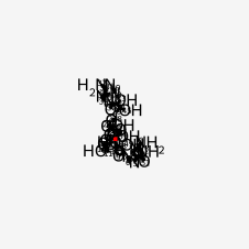 Nc1nc2c(ncn2[C@@H]2O[C@H](CP(=O)(O)OP(=O)(O)CP(=O)(O)OP(=O)(O)OC[C@H]3O[C@@H](n4cnc5c(N)ncnc54)C(O)C3O)C(O)[C@@H]2O)c(=O)[nH]1